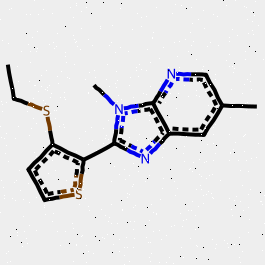 CCSc1ccsc1-c1nc2cc(C)cnc2n1C